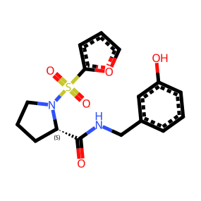 O=C(NCc1cccc(O)c1)[C@@H]1CCCN1S(=O)(=O)c1ccco1